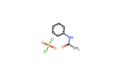 CC(=O)Nc1ccccc1.O=S(=O)(Cl)Cl